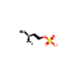 [CH3][Pt]([CH3])[CH]=COS(=O)(=O)O